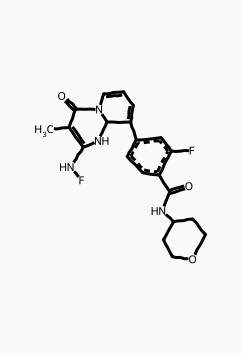 CC1=C(NF)NC2C(c3ccc(C(=O)NC4CCOCC4)c(F)c3)=CC=CN2C1=O